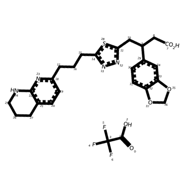 O=C(O)C(F)(F)F.O=C(O)CC(Cc1nnc(CCCc2ccc3c(n2)NCCC3)s1)c1ccc2c(c1)OCO2